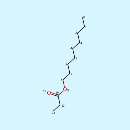 CCCCCCCCCOC(=O)CC